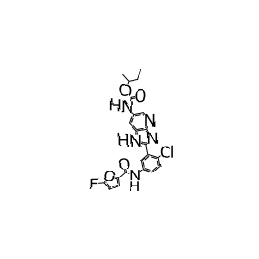 CCC(C)OC(=O)Nc1cnc2nc(-c3cc(NC(=O)c4ccc(F)o4)ccc3Cl)[nH]c2c1